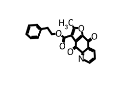 Cc1oc2c(c1C(=O)OCCc1ccccc1)C(=O)c1ncccc1C2=O